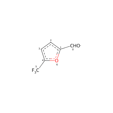 O=[C]c1ccc(C(F)(F)F)o1